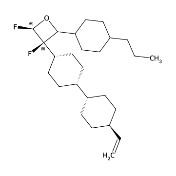 C=C[C@H]1CC[C@H]([C@H]2CC[C@@H]([C@@]3(F)C(C4CCC(CCC)CC4)O[C@@H]3F)CC2)CC1